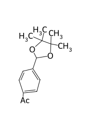 CC(=O)c1ccc(C2OC(C)(C)C(C)(C)O2)cc1